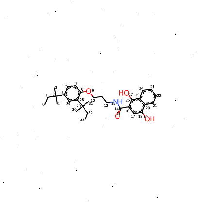 CCC(C)(C)c1ccc(OCCCNC(=O)c2cc(O)c3ccccc3c2O)c(C(C)(C)CC)c1